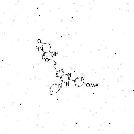 COc1ccc(-c2nc(N3CCOCC3)c3sc(/C=C/C(=O)NC4CCC(=O)NC4=O)cc3n2)cn1